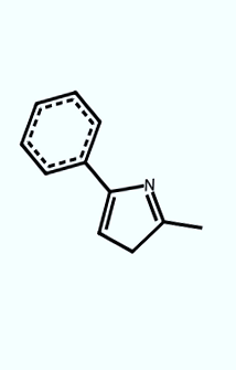 CC1=NC(c2ccccc2)=CC1